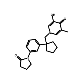 Cc1cn(CC2(c3cccc(N4CCCC4=O)c3)CCCC2)cc(O)c1=O